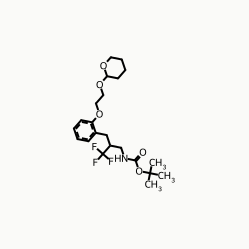 CC(C)(C)OC(=O)NCC(Cc1ccccc1OCCOC1CCCCO1)C(F)(F)F